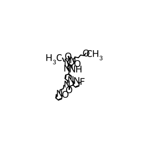 CCCn1c(=O)n(CCCCOC)c(=O)c2[nH]c(-c3ccc(N(CCCn4ccccc4=O)C(=O)c4ccc(F)nc4)nc3)nc21